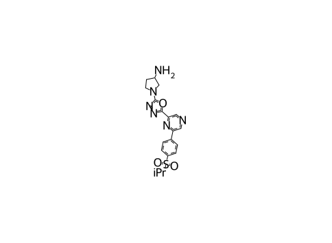 CC(C)S(=O)(=O)c1ccc(-c2cncc(-c3nnc(N4CCC(N)C4)o3)n2)cc1